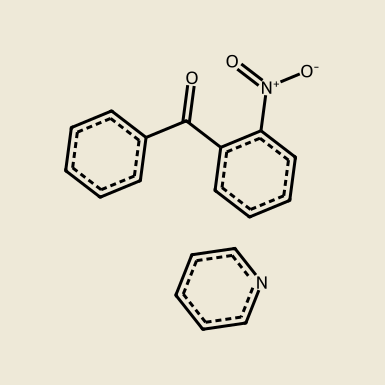 O=C(c1ccccc1)c1ccccc1[N+](=O)[O-].c1ccncc1